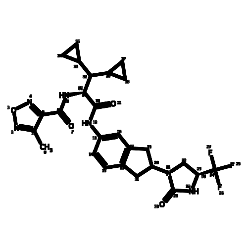 Cc1nonc1C(=O)N[C@H](C(=O)Nc1ccc2c(c1)CC(N1C[C@@H](C(F)(F)F)NC1=O)C2)C(C1CC1)C1CC1